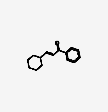 O=C(C=CC1CCCCC1)c1ccccc1